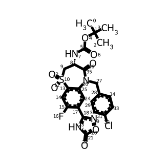 CC(C)(C)OC(=O)N[C@H]1CS(=O)(=O)c2cc(F)c(-c3noc(=O)[nH]3)cc2N(Cc2ccc(Cl)cc2)C1=O